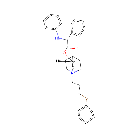 O=C(O[C@H]1C[N+]2(CCCSc3ccccc3)CCC1CC2)C(Nc1ccccc1)c1ccccc1